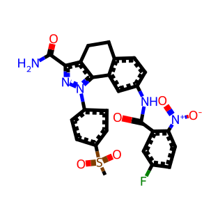 CS(=O)(=O)c1ccc(-n2nc(C(N)=O)c3c2-c2cc(NC(=O)c4cc(F)ccc4[N+](=O)[O-])ccc2CC3)cc1